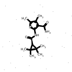 Cc1sc(NC(=O)C2C(C)(C)C2(C)C)c(C(N)=O)c1C